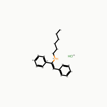 CCCCCCPC(=Cc1ccccc1)c1ccccc1.Cl